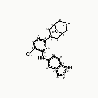 Clc1cnc(N2CC3CNCC(C2)O3)nc1Nc1ccc2[nH]ncc2c1